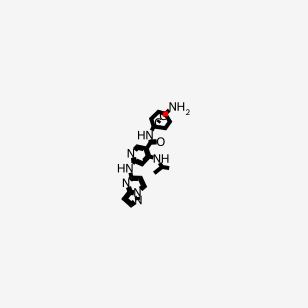 CC(C)Nc1cc(Nc2ccn3nccc3n2)ncc1C(=O)NC12CCC(N)(CC1)CC2